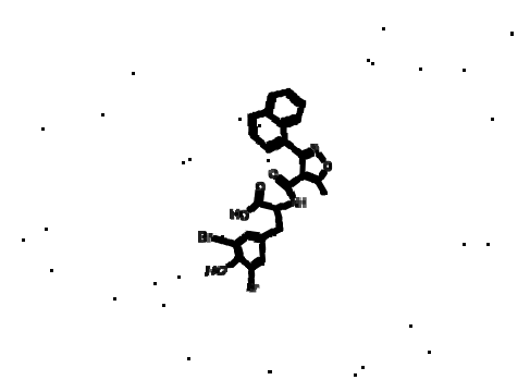 Cc1onc(-c2cccc3ccccc23)c1C(=O)NC(Cc1cc(Br)c(O)c(Br)c1)C(=O)O